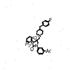 CC(=O)c1cccc(N(C[C@@](O)(Cc2ccccc2)CN2CCC(Cc3ccc(F)cc3)CC2)C(N)=O)c1